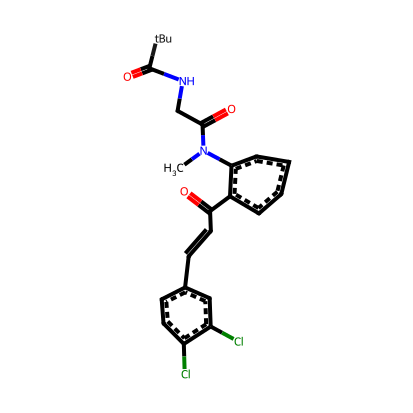 CN(C(=O)CNC(=O)C(C)(C)C)c1ccccc1C(=O)C=Cc1ccc(Cl)c(Cl)c1